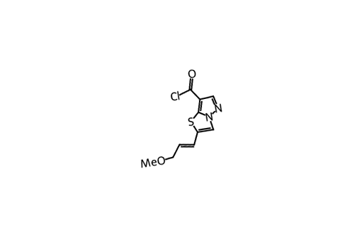 COCC=Cc1cn2ncc(C(=O)Cl)c2s1